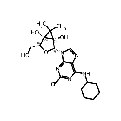 CC1(C)[C@]2(O)[C@@H](CO)O[C@@H](n3cnc4c(NC5CCCCC5)nc(Cl)nc43)[C@]12O